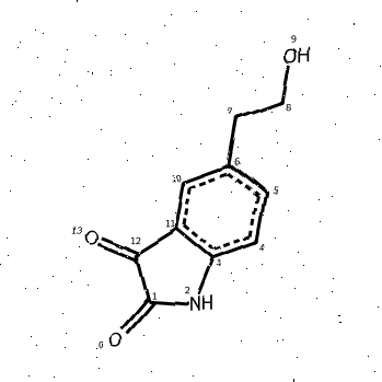 O=C1Nc2ccc(CCO)cc2C1=O